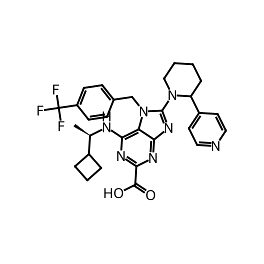 C[C@@H](Nc1nc(C(=O)O)nc2nc(N3CCCCC3c3ccncc3)n(Cc3ccc(C(F)(F)F)cc3)c12)C1CCC1